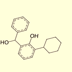 Oc1c(C2CCCCC2)cccc1C(O)c1ccccc1